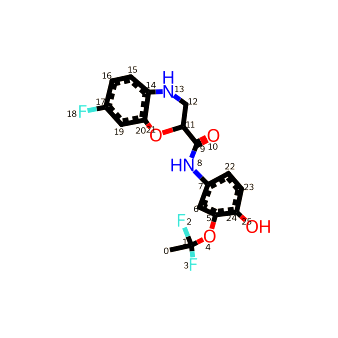 CC(F)(F)Oc1cc(NC(=O)C2CNc3ccc(F)cc3O2)ccc1O